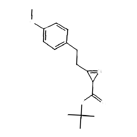 COc1ccc(CCC2=NC2C(=O)OC(C)(C)C)cc1